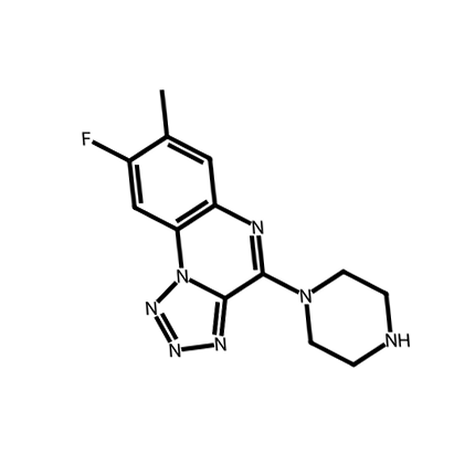 Cc1cc2nc(N3CCNCC3)c3nnnn3c2cc1F